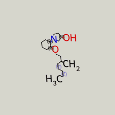 C=C(/C=C\C=C/C)CCO[C@@H]1CCCC[C@H]1N1CC[C@@H](O)C1